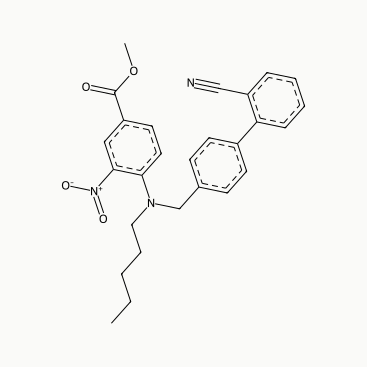 CCCCCN(Cc1ccc(-c2ccccc2C#N)cc1)c1ccc(C(=O)OC)cc1[N+](=O)[O-]